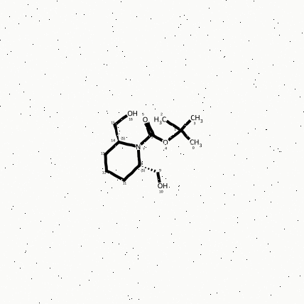 CC(C)(C)OC(=O)N1[C@H](CO)CCC[C@H]1CO